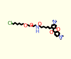 CN(C)c1ccc2c(=O)c3c(/C=C/CCCC(=O)NCCOCCOCCCCCCCl)cc(N(C)C)cc3oc2c1